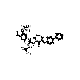 CC(=O)N[C@@H](Cc1ccc(OP(=O)(O)O)c(C=O)c1)C(=O)N[C@H]1CCCCN(Cc2ccc(-c3ccccc3)cc2)C1=O